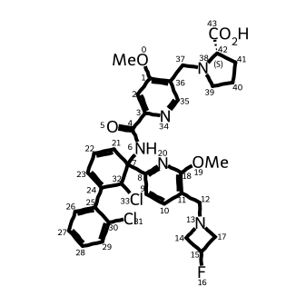 COc1cc(C(=O)NC2(c3ccc(CN4CC(F)C4)c(OC)n3)C=CC=C(c3ccccc3Cl)C2Cl)ncc1CN1CCC[C@H]1C(=O)O